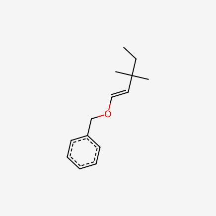 CCC(C)(C)C=COCc1ccccc1